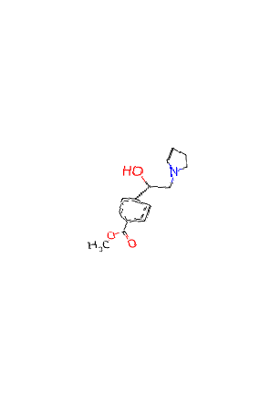 COC(=O)c1ccc(C(O)CN2CCCC2)cc1